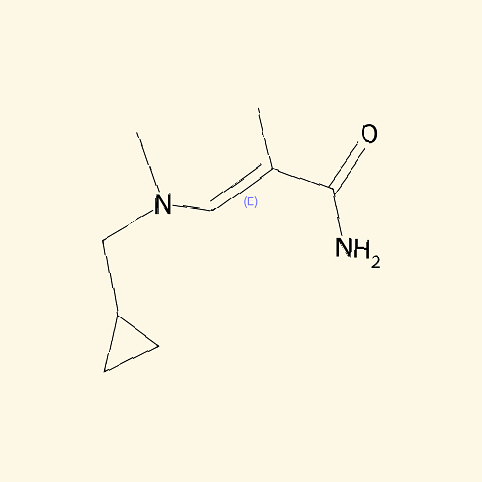 C/C(=C\N(C)CC1CC1)C(N)=O